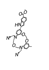 COC(=O)c1ccc2cc(-c3ccc4c(c3)OCCOc3cc(C)ccc3N(CC#N)CCOCCN4CC#N)[nH]c2c1